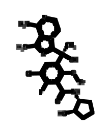 Cc1nc([C@@](C)(O)c2cc(Cl)c(F)c(C(=O)N[C@@H]3CCC[C@H]3O)c2OC(C)C)n2ccnc(N)c12